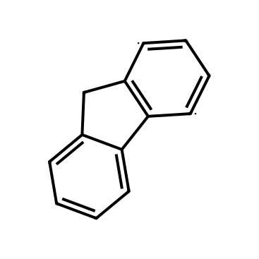 [c]1cc[c]c2c1Cc1ccccc1-2